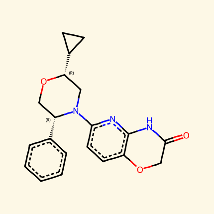 O=C1COc2ccc(N3C[C@@H](C4CC4)OC[C@H]3c3ccccc3)nc2N1